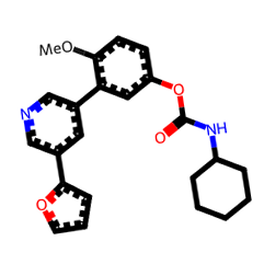 COc1ccc(OC(=O)NC2CCCCC2)cc1-c1cncc(-c2ccco2)c1